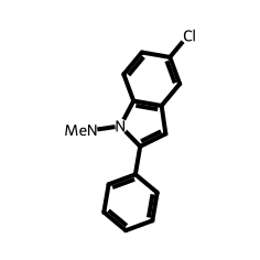 CNn1c(-c2ccccc2)cc2cc(Cl)ccc21